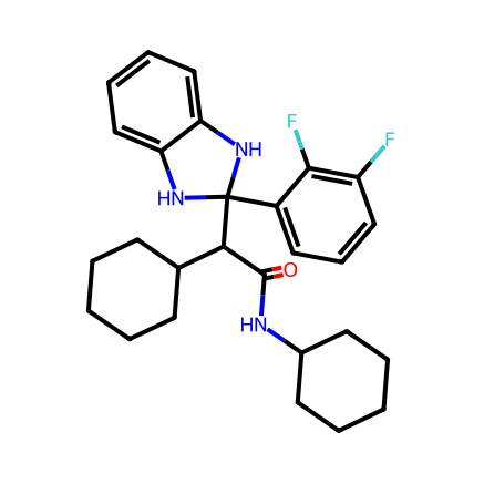 O=C(NC1CCCCC1)C(C1CCCCC1)C1(c2cccc(F)c2F)Nc2ccccc2N1